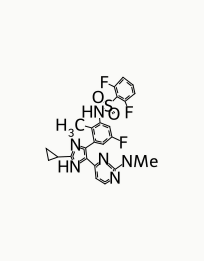 CNc1nccc(-c2[nH]c(C3CC3)nc2-c2cc(F)cc(NS(=O)(=O)c3c(F)cccc3F)c2C)n1